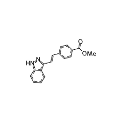 COC(=O)c1ccc(C=Cc2n[nH]c3ccccc23)cc1